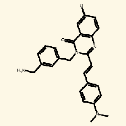 CN(C)c1ccc(C=Cc2nc3ccc(Cl)cc3c(=O)n2Cc2cccc(CN)c2)cc1